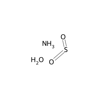 N.O.O=S=O